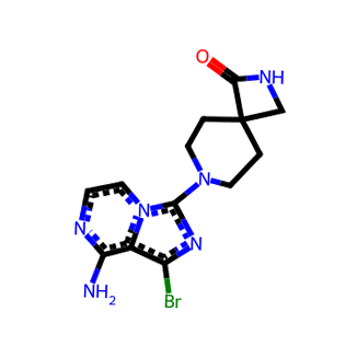 Nc1nccn2c(N3CCC4(CC3)CNC4=O)nc(Br)c12